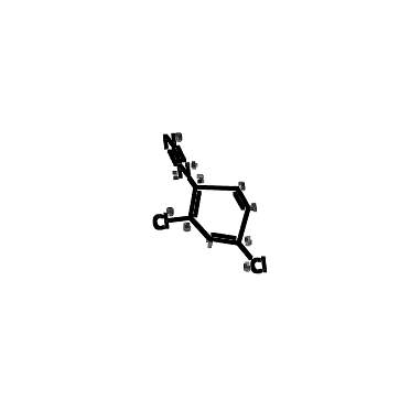 N#[N+]c1ccc(Cl)cc1Cl